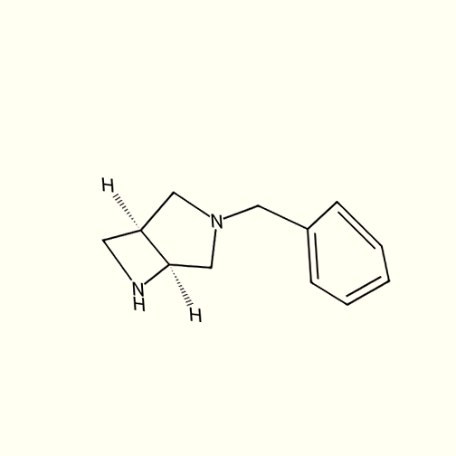 c1ccc(CN2C[C@@H]3CN[C@@H]3C2)cc1